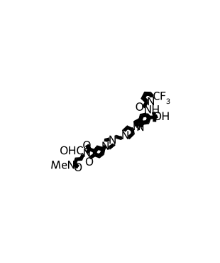 CNC(=O)CCC(C=O)N1C(=O)c2ccc(N3CCN(CCN4CCC(n5cc6cc(NC(=O)c7cccc(C(F)(F)F)n7)c(C(C)(C)O)cc6n5)CC4)CC3)cc2C1=O